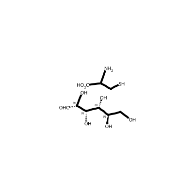 NC(CS)C(=O)O.O=C[C@H](O)[C@@H](O)[C@H](O)[C@H](O)CO